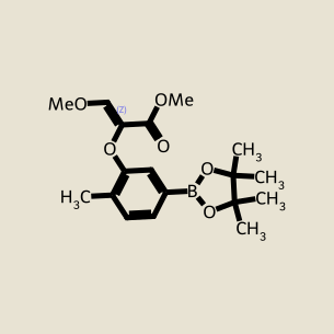 CO/C=C(\Oc1cc(B2OC(C)(C)C(C)(C)O2)ccc1C)C(=O)OC